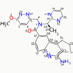 COc1ccc(CN(C(=O)c2ccc3nc(N)c4c(c3c2)CCC4)[C@H](C)c2ncccn2)nn1